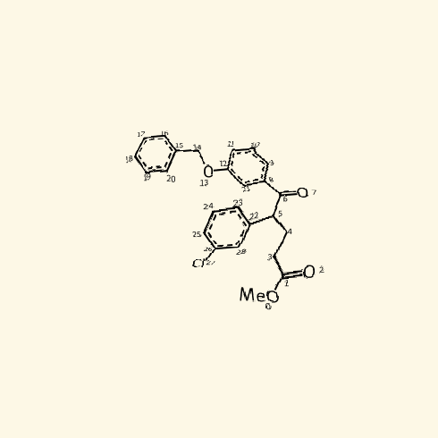 COC(=O)CCC(C(=O)c1cccc(OCc2ccccc2)c1)c1cccc(Cl)c1